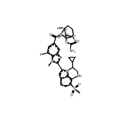 Cn1c(-c2cc3ccc(S(C)(=O)=O)c4c3n2C(C2CC2)CN4)nc2cc(C(=O)N3C[C@H]4CC[C@@H]3[C@@H]4OC(N)=O)cc(F)c21